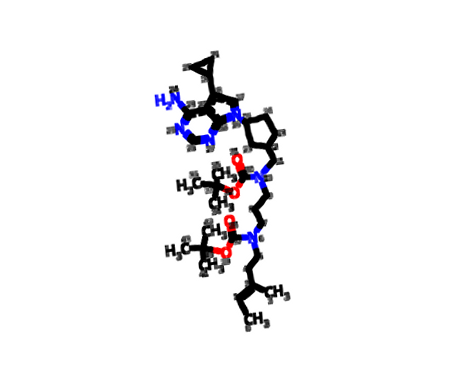 C/C=C(\C)CCN(CCCN(CC1CCC(n2cc(C3CC3)c3c(N)ncnc32)C1)C(=O)OC(C)(C)C)C(=O)OC(C)(C)C